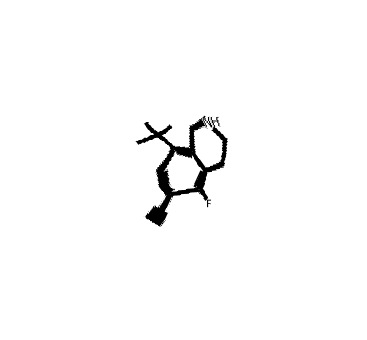 C#Cc1cc(C(C)(C)C)c2c(c1F)CCNC2